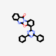 O=c1c2ccccc2nc2oc3c(-c4nc(-c5ccccc5)nc(-c5ccccc5)n4)cccc3n12